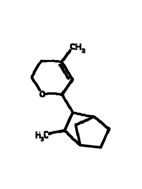 CC1=CC(C2C3CCC(C3)C2C)OCC1